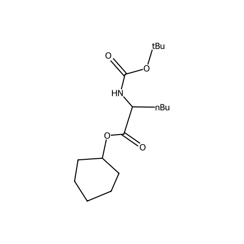 CCCCC(NC(=O)OC(C)(C)C)C(=O)OC1CCCCC1